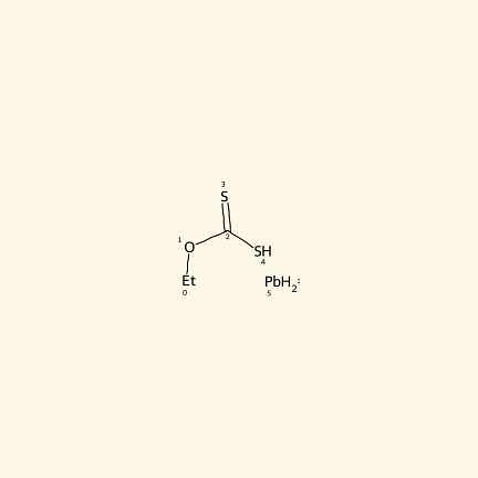 CCOC(=S)S.[PbH2]